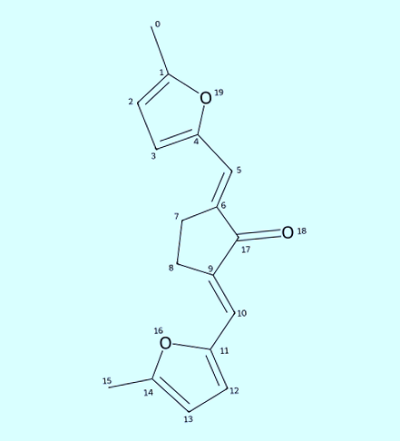 Cc1ccc(/C=C2\CC/C(=C\c3ccc(C)o3)C2=O)o1